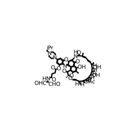 CC(=O)O[C@H]1[C@H](C)[C@H](O)[C@H](C)[C@@H](O)[C@@H](C)/C=C/C=C(/C)C(=O)Nc2c3oc4cc(N5CCN(CC(C)C)CC5)cc(OC(=O)CCC(=O)NC(C=O)C=O)c4nc-3c3c4c(c(C)c(O)c3c2=O)O[C@](C)(O/C=C/[C@H](C)[C@H]1C)C4=O